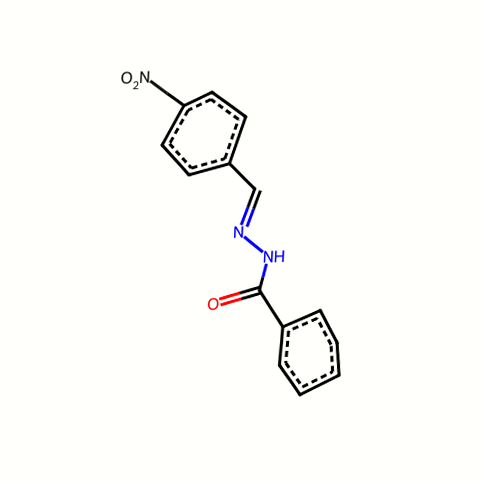 O=C(NN=Cc1ccc([N+](=O)[O-])cc1)c1ccccc1